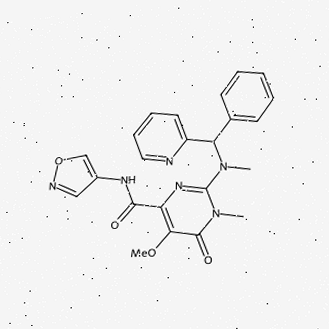 COc1c(C(=O)Nc2cnoc2)nc(N(C)C(c2ccccc2)c2ccccn2)n(C)c1=O